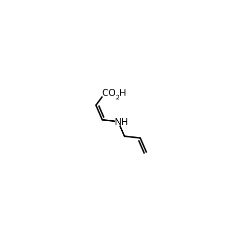 C=CCN/C=C\C(=O)O